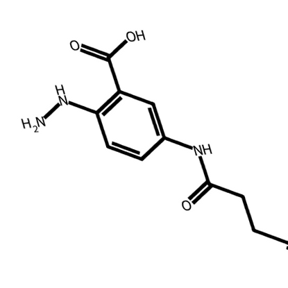 C#CCCC(=O)Nc1ccc(NN)c(C(=O)O)c1